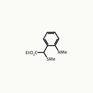 CCOC(=O)C(SC)c1ccccc1NC